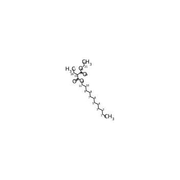 CCCCCCCCCCCCOC(=O)C(CC)C(=O)OCC